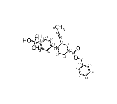 CC#CC1CN(C(=O)OCc2ccccc2)CCN1c1ccc(C(C)(C)O)cc1